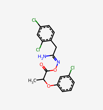 CC(Oc1cccc(Cl)c1)C(=O)O/N=C(\N)Cc1ccc(Cl)cc1Cl